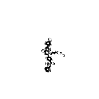 CCCCCn1c(-c2ccc(C(=O)NCc3ccccn3)cc2)cc(=O)n2cc(-c3ccc(Cl)cc3)nc12